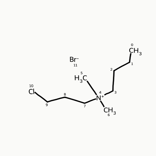 CCCC[N+](C)(C)CCCCl.[Br-]